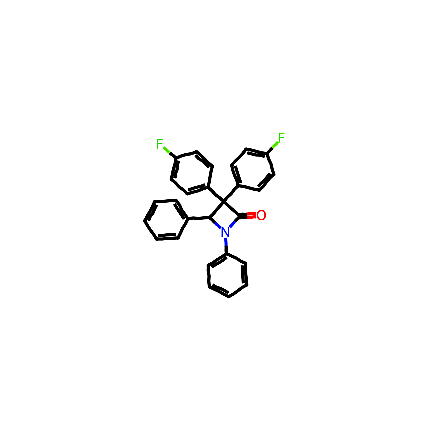 O=C1N(c2ccccc2)C(c2ccccc2)C1(c1ccc(F)cc1)c1ccc(F)cc1